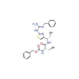 CC(C)C[C@H](NC(=O)OCc1ccccc1)C(=O)N[C@@H](CC(C)C)c1csc(NC(N)=NCc2ccccc2)n1